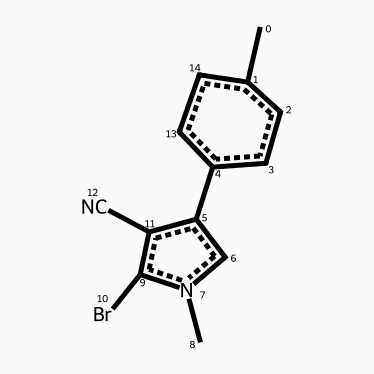 Cc1ccc(-c2cn(C)c(Br)c2C#N)cc1